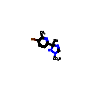 Cc1nc(C2(C(C)(C)C)N=CN(C(=O)O)N2)ccc1Br